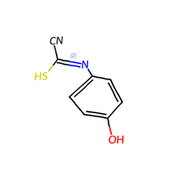 N#C/C(S)=N/c1ccc(O)cc1